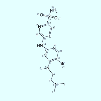 CN(C)CCN(C)c1nc(Nc2ccc(S(N)(=O)=O)nc2)ncc1Br